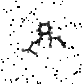 CC(C)COc1ccccc1C(C)C=O